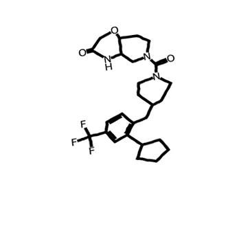 O=C1COC2CCN(C(=O)N3CCC(Cc4ccc(C(F)(F)F)cc4C4CCCC4)CC3)CC2N1